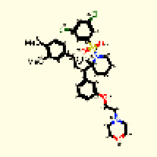 COc1ccc(CC[C@H](c2cccc(OCCN3CCOCC3)c2)C2(C(=O)O)CCCCN2S(=O)(=O)c2cc(Cl)cc(Cl)c2)cc1OC